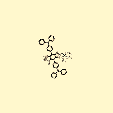 CC(C)(C)Cn1nc2c(-c3ccc(N(c4ccccc4)c4ccccc4)cc3)c3c(c(-c4ccc(N(c5ccccc5)c5ccccc5)cc4)c2n1)NNN3